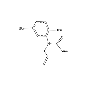 C=CCN(C(=O)C=C)c1cc(C(C)(C)C)ccc1C(C)(C)C